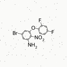 Nc1cc(Br)cc(Oc2ccc(F)cc2F)c1[N+](=O)[O-]